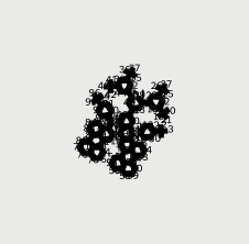 CC(C)(C)c1ccc(N2c3cc(-c4cc(-c5cc(C(C)(C)C)cc(C(C)(C)C)c5)nc(-c5cc(C(C)(C)C)cc(C(C)(C)C)c5)c4)cc4c3B(c3cc5c6cccc7cccc(c8cccc(c32)c85)c76)c2cc3c5cccc6cccc(c7cccc(c2N4c2ccc(C(C)(C)C)cc2)c73)c65)cc1